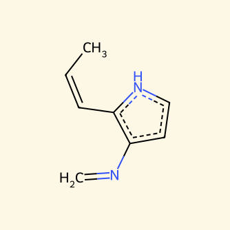 C=Nc1cc[nH]c1/C=C\C